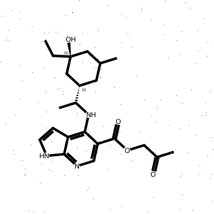 CC[C@]1(O)CC(C)C[C@H](C(C)Nc2c(C(=O)OCC(C)=O)cnc3[nH]ccc23)C1